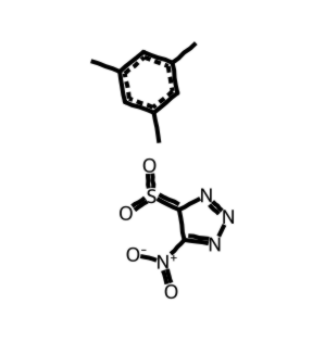 Cc1cc(C)cc(C)c1.O=[N+]([O-])C1=NN=NC1=S(=O)=O